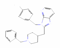 Cc1ccc(Cn2c(CC3CCN(Cc4ccccc4)CC3)nc3cccnc32)cc1